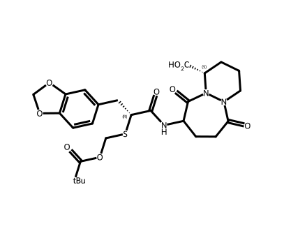 CC(C)(C)C(=O)OCS[C@H](Cc1ccc2c(c1)OCO2)C(=O)NC1CCC(=O)N2CCC[C@@H](C(=O)O)N2C1=O